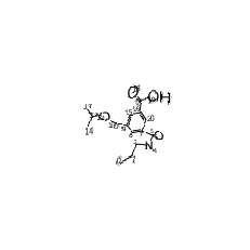 CCCN(C)C(=O)c1cc(COC(C)C)cc(C(=O)O)c1